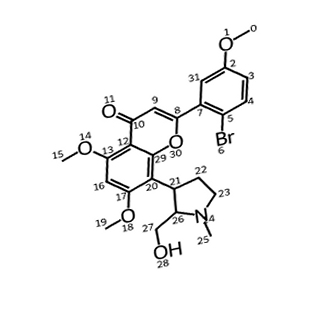 COc1ccc(Br)c(-c2cc(=O)c3c(OC)cc(OC)c(C4CCN(C)C4CO)c3o2)c1